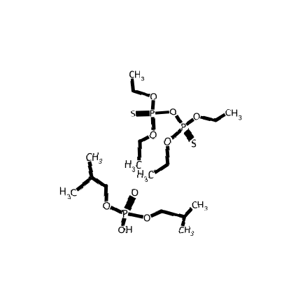 CC(C)COP(=O)(O)OCC(C)C.CCOP(=S)(OCC)OP(=S)(OCC)OCC